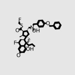 CC[C@H](O)[C@@]1(F)[C@H]([C@]2(C)C[C@@H](CN(O)Cc3ccc(OCc4ccccc4)cc3)[C@H](C(=O)SCF)[C@@H]2C)C[C@H](F)C2=CC(=O)C=C[C@@]21C